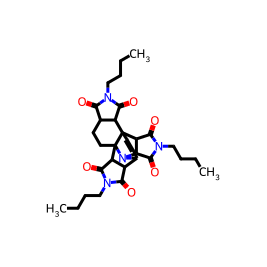 CCCCN1C(=O)C2CCC34C5C(=O)N(CCCC)C(=O)C5C5C=CC3(C2C1=O)C1C(=O)N(CCCC)C(=O)C1N54